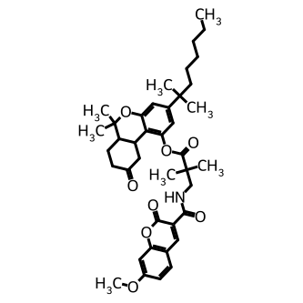 CCCCCCC(C)(C)c1cc(OC(=O)C(C)(C)CNC(=O)c2cc3ccc(OC)cc3oc2=O)c2c(c1)OC(C)(C)C1CCC(=O)CC21